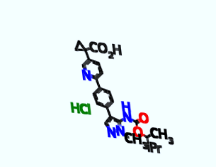 CC(C)C(C)OC(=O)Nc1c(-c2ccc(-c3ccc(C4(C(=O)O)CC4)cn3)cc2)cnn1C.Cl